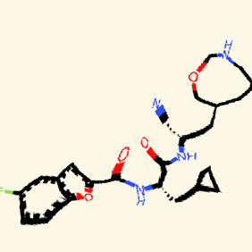 N#C[C@H](C[C@@H]1CCCNCOC1)NC(=O)[C@H](CC1CC1)NC(=O)c1cc2cc(F)ccc2o1